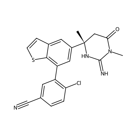 CN1C(=N)N[C@](C)(c2cc(-c3cc(C#N)ccc3Cl)c3sccc3c2)CC1=O